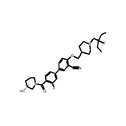 CCC(F)(CC)CN1CCC(COc2ccc(-c3ccc(C(=O)N4CCC[C@@H](O)C4)c(F)c3)cc2C#N)CC1